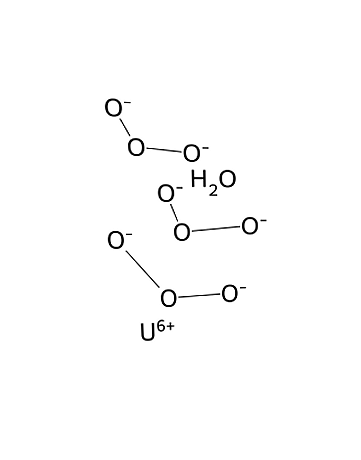 O.[O-]O[O-].[O-]O[O-].[O-]O[O-].[U+6]